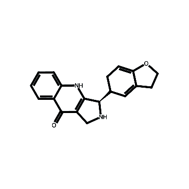 O=c1c2c([nH]c3ccccc13)[C@@H](C1C=C3CCOC3=CC1)NC2